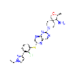 C=C1OCC2(CCN(c3ncc4nc(Sc5cccc(-c6ccn(CC)n6)c5Cl)cnc4n3)CC2)[C@@H]1N